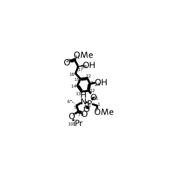 COCP(=O)(N[C@@H](C)C(=O)OC(C)C)Oc1ccc(C[C@H](O)C(=O)OC)cc1O